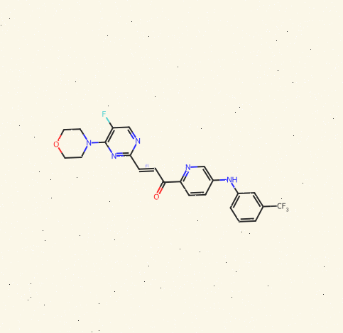 O=C(/C=C/c1ncc(F)c(N2CCOCC2)n1)c1ccc(Nc2cccc(C(F)(F)F)c2)cn1